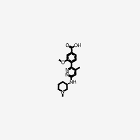 COc1cc(C(=O)O)ccc1-c1nnc(N[C@@H]2CCCN(C)C2)cc1C